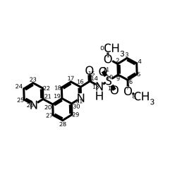 COc1cccc(OC)c1S(=O)(=O)NC(=O)c1ccc2c(-c3ccccn3)cccc2n1